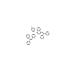 Cc1ccc(C(=Cc2ccc(N(c3ccc(CO)cc3)c3ccc(C=C(c4ccccc4)c4ccccc4)c4ccccc34)cc2)c2ccc(C)cc2)cc1